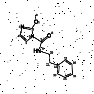 COc1nccn1C(=O)NCCc1ccccc1